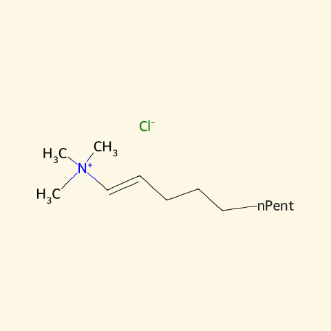 CCCCCCCCC=C[N+](C)(C)C.[Cl-]